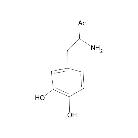 CC(=O)C(N)Cc1ccc(O)c(O)c1